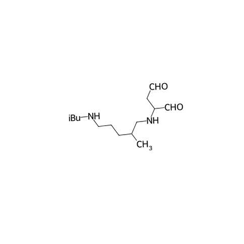 CCC(C)NCCCC(C)CNC(C=O)CC=O